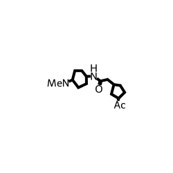 CNC1CCC(NC(=O)CC2CCC(C(C)=O)C2)CC1